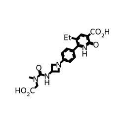 CCc1cc(C(=O)O)c(=O)[nH]c1-c1ccc(N2CC(NC(=O)N(C)CC(=O)O)C2)cc1